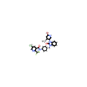 Cc1cc(Br)ncc1-n1c(=O)n(C[C@H]2CC[C@H](NC(=O)c3cc(Cl)cnc3C(F)F)CC2)c2ccccc21